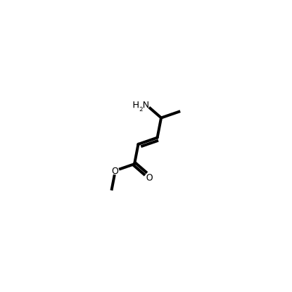 COC(=O)C=CC(C)N